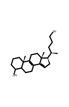 CCCC1CCC[C@]2(C)C3=C(CCC12)C1=CC[C@H]([C@H](C)CCCC(C)C)[C@@]1(C)CC3